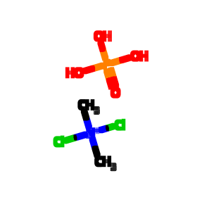 C[N+](C)(Cl)Cl.O=P(O)(O)O